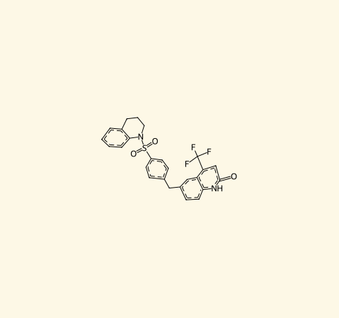 O=c1cc(C(F)(F)F)c2cc(Cc3ccc(S(=O)(=O)N4CCCc5ccccc54)cc3)ccc2[nH]1